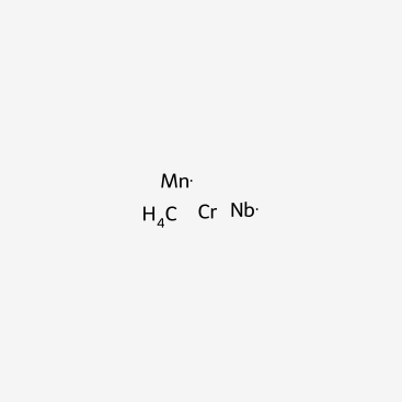 C.[Cr].[Mn].[Nb]